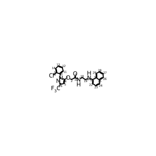 O=C(COc1cc(C(F)(F)F)nn1-c1ccccc1Cl)NCCNc1cccc2ccccc12